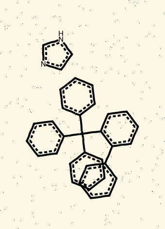 c1c[nH]cn1.c1ccc(-c2ccccc2C(c2ccccc2)(c2ccccc2)c2ccccc2)cc1